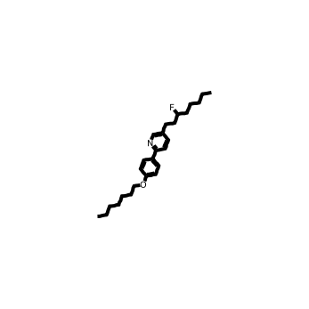 CCCCCCCOc1ccc(-c2ccc(CCC(F)CCCCC)cn2)cc1